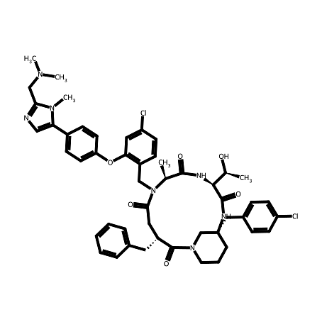 C[C@H](O)[C@@H]1NC(=O)[C@H](C)N(Cc2ccc(Cl)cc2Oc2ccc(-c3cnc(CN(C)C)n3C)cc2)C(=O)C[C@@H](Cc2ccccc2)C(=O)N2CCC[C@@](Cc3ccc(Cl)cc3)(C2)NC1=O